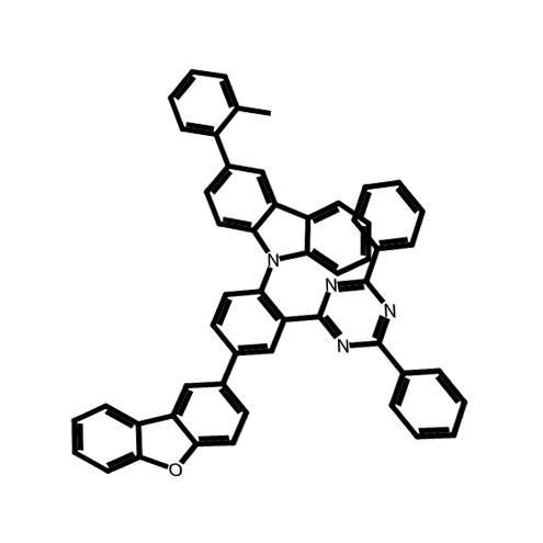 Cc1ccccc1-c1ccc2c(c1)c1ccccc1n2-c1ccc(-c2ccc3oc4ccccc4c3c2)cc1-c1nc(-c2ccccc2)nc(-c2ccccc2)n1